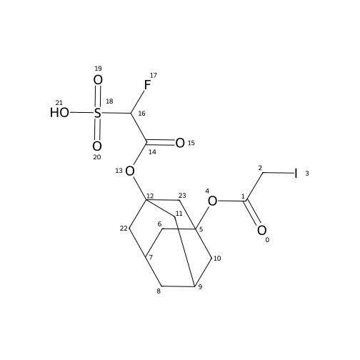 O=C(CI)OC12CC3CC(C1)CC(OC(=O)C(F)S(=O)(=O)O)(C3)C2